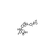 Cc1cc(COC(=O)N(C)Cc2ccc(-c3[nH]c4cc(F)cc5c4c3CCNC5=O)cc2)ccc1SSC(=O)C(C)(C)C